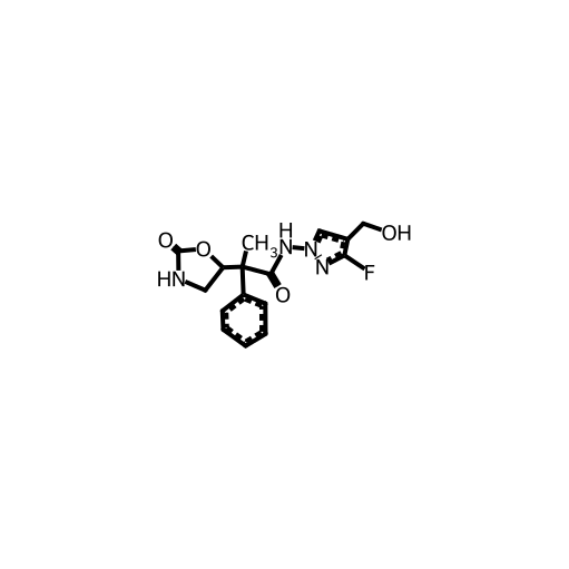 CC(C(=O)Nn1cc(CO)c(F)n1)(c1ccccc1)C1CNC(=O)O1